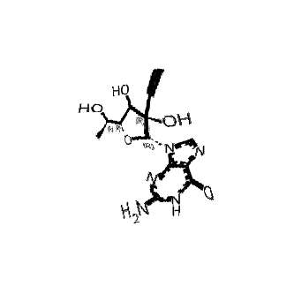 C#C[C@@]1(O)C(O)[C@@H]([C@@H](C)O)O[C@H]1n1cnc2c(=O)[nH]c(N)nc21